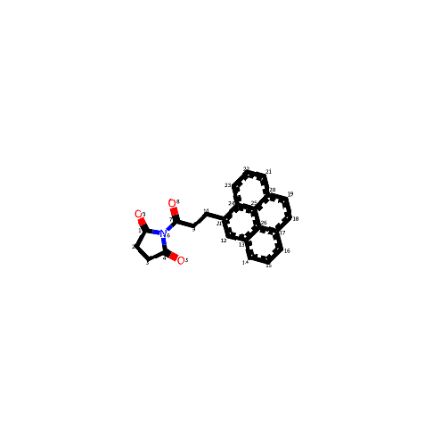 O=C1CCC(=O)N1C(=O)CCc1cc2cccc3ccc4cccc1c4c32